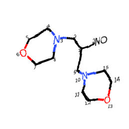 O=NC(CN1CCOCC1)CN1CCOCC1